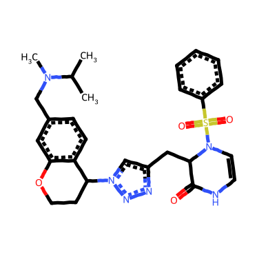 CC(C)N(C)Cc1ccc2c(c1)OCCC2n1cc(CC2C(=O)NC=CN2S(=O)(=O)c2ccccc2)nn1